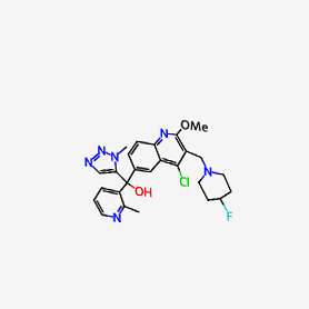 COc1nc2ccc(C(O)(c3cccnc3C)c3cnnn3C)cc2c(Cl)c1CN1CCC(F)CC1